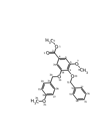 COC(=O)c1cc(OC)c(OCc2ccccc2)c(OCc2ccc(OC)cc2)c1